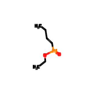 CCCC[PH](=O)OCC